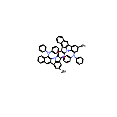 CC(C)(C)c1cc(N(c2ccccc2)c2ccccc2)c2c(c1)c1cc3ccccc3c3c4cc5c(nc4n2c13)c1cc(C(C)(C)C)cc2c3cc4ccccc4c(N(c4ccccc4)c4ccccc4)c3n5c21